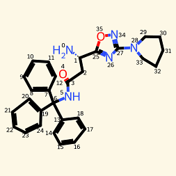 N[C@@H](CC(=O)NC(c1ccccc1)(c1ccccc1)c1ccccc1)c1nc(N2CCCCC2)no1